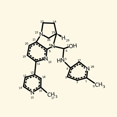 Cc1ccc(NC(O)N2c3nc(-c4ccnc(C)c4)ccc3N3CC[C@H]2C3)cn1